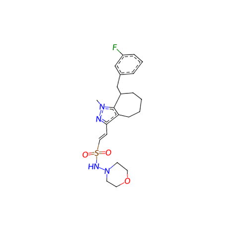 Cn1nc(/C=C/S(=O)(=O)NN2CCOCC2)c2c1C(Cc1cccc(F)c1)CCCC2